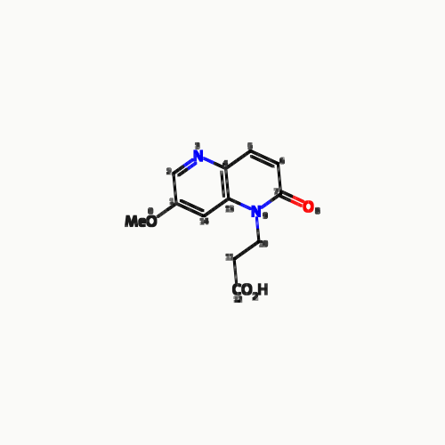 COc1cnc2ccc(=O)n(CCC(=O)O)c2c1